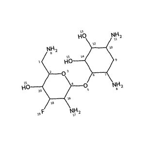 NCC1OC(OC2C(N)CC(N)C(O)C2O)C(N)C(F)C1O